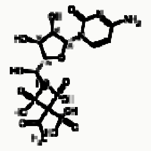 CC(=O)C(P(=O)(O)O)(P(=O)(O)O)P(=O)(O)OC(O)[C@H]1O[C@@H](n2ccc(N)nc2=O)[C@H](O)[C@@H]1O